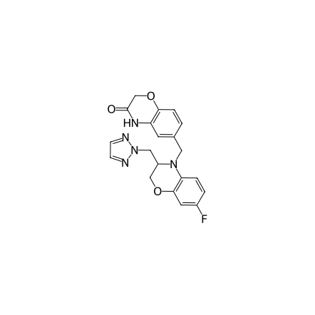 O=C1COc2ccc(CN3c4ccc(F)cc4OCC3Cn3nccn3)cc2N1